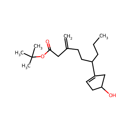 C=C(CCC(CCC)C1=CCC(O)C1)CC(=O)OC(C)(C)C